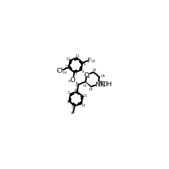 Cc1ccc([C@H](Oc2cc(F)ccc2Cl)[C@@H]2CNCCO2)cc1.Cl